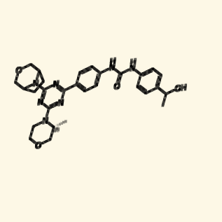 CC(O)c1ccc(NC(=O)Nc2ccc(-c3nc(N4C5CCC4COC5)nc(N4CCOC[C@H]4C)n3)cc2)cc1